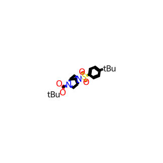 CC(C)(C)OC(=O)N1CC2CC1CN2S(=O)(=O)c1ccc(C(C)(C)C)cc1